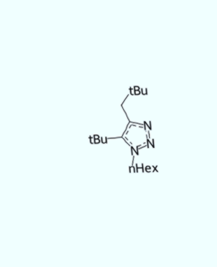 CCCCCCn1nnc(CC(C)(C)C)c1C(C)(C)C